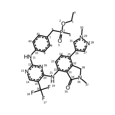 CCOP(C)(=O)Cc1ccc(Nc2ncc(C(F)(F)F)c(Nc3ccc(-c4cnn(C)c4)c4c3C(=O)N(C)C4)n2)cc1